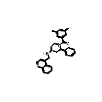 Cc1cc(C)cc(C(=O)N2CCC(NCc3ccnc4ccccc34)CC2c2ccccc2)c1